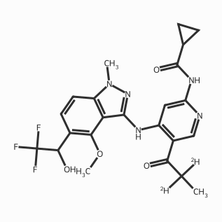 [2H]C([2H])(C)C(=O)c1cnc(NC(=O)C2CC2)cc1Nc1nn(C)c2ccc(C(O)C(F)(F)F)c(OC)c12